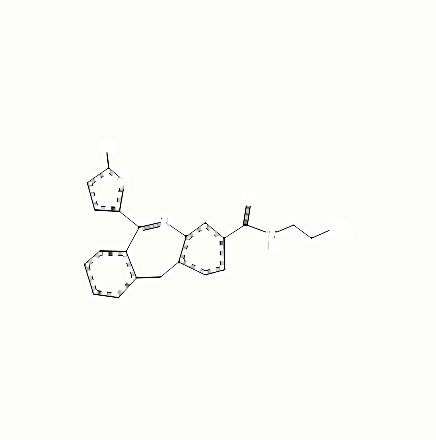 O=C(NCCC(F)(F)F)c1ccc2c(c1)N=C(c1ccc(Cl)s1)c1ccccc1C2